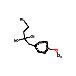 CC(C)CCC(C#N)(C#N)Cc1ccc(OC(F)(F)F)cc1